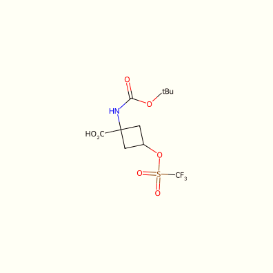 CC(C)(C)OC(=O)NC1(C(=O)O)CC(OS(=O)(=O)C(F)(F)F)C1